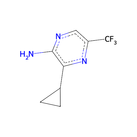 Nc1ncc(C(F)(F)F)nc1C1CC1